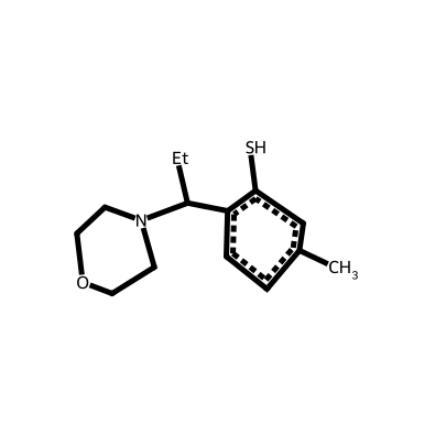 CCC(c1ccc(C)cc1S)N1CCOCC1